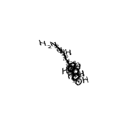 C[C@]12CC[C@H](O)C[C@H]1CC[C@@H]1[C@@H]2CC[C@]2(C)[C@@H](C=CC=CCNOCCCN)CC[C@]12O